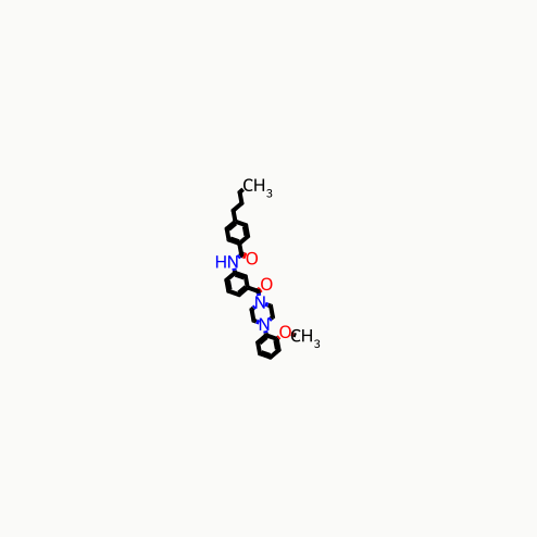 CCCCc1ccc(C(=O)Nc2cccc(C(=O)N3CCN(c4ccccc4OC)CC3)c2)cc1